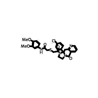 COc1ccc(NC(=O)CSCC(=O)N2CCN3C(=O)c4cccnc4CC23c2ccc(Cl)cc2)cc1OC